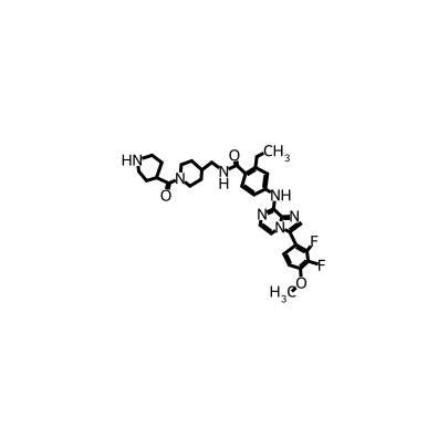 CCc1cc(Nc2nccn3c(-c4ccc(OC)c(F)c4F)cnc23)ccc1C(=O)NCC1CCN(C(=O)C2CCNCC2)CC1